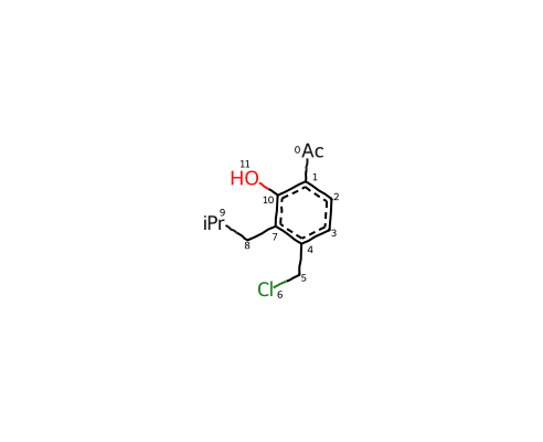 CC(=O)c1ccc(CCl)c(CC(C)C)c1O